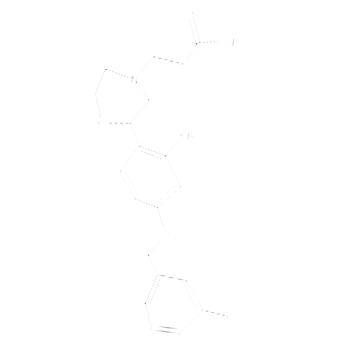 Cc1cc(OCc2cccc(Cl)c2)ccc1C1CN(CCC(=O)O)CCO1